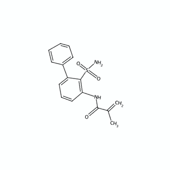 C=C(C)C(=O)Nc1cccc(-c2ccccc2)c1S(N)(=O)=O